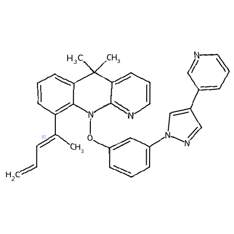 C=C/C=C(\C)c1cccc2c1N(Oc1cccc(-n3cc(-c4cccnc4)cn3)c1)c1ncccc1C2(C)C